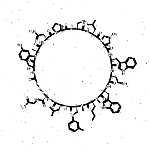 CCCC[C@H]1C(=O)N(C)[C@@H](COc2cccc(C)c2)C(=O)N[C@@H](CC(C)C)C(=O)N[C@H](C(=O)NCC(N)=O)CSCC(=O)N[C@H]2Cc3ccc(O)cc3N(C2=O)[C@@H](C)C(=O)N[C@@H](CC(N)=O)C(=O)N2CCC[C@H]2C(=O)N[C@@H](CN)C(=O)N[C@@H](CC(C)C)C(=O)N2C[C@H](O)C[C@H]2C(=O)N[C@@H](Cc2c[nH]c3ccccc23)C(=O)N[C@@H](CCN)C(=O)N[C@@H](Cc2c[nH]c3ccccc23)C(=O)N1C